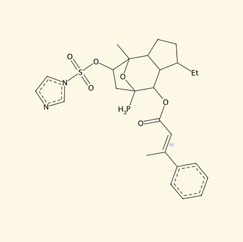 CCC1CCC2C1C(OC(=O)/C=C(\C)c1ccccc1)C1(P)CC(OS(=O)(=O)n3ccnc3)C2(C)O1